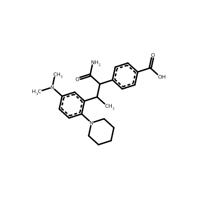 CC(c1cc(N(C)C)ccc1N1CCCCC1)C(C(N)=O)c1ccc(C(=O)O)cc1